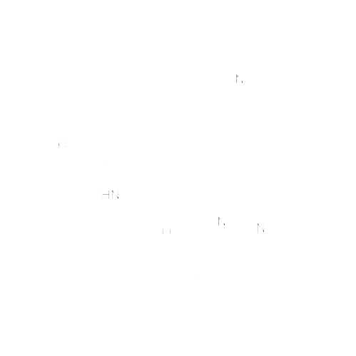 Cc1ccc(-c2cnn(CC3(C)CCCC3)c2)c(-c2ccc3c(c2)C(=O)NC3=O)n1